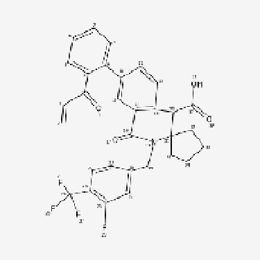 C=CC(=O)c1ccccc1-c1ccc2c(c1)C(=O)N(Cc1ccc(C(F)(F)F)c(F)c1)C1(CCCC1)C2C(=O)O